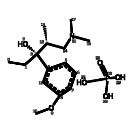 CC[C@](O)(c1cccc(OC)c1)[C@H](C)CN(C)C.O=P(O)(O)O